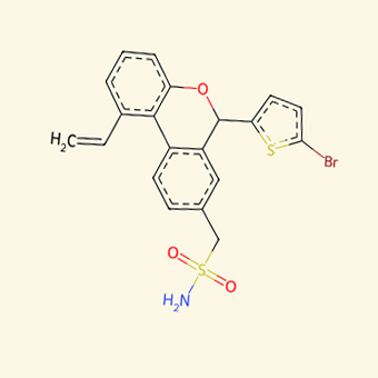 C=Cc1cccc2c1-c1ccc(CS(N)(=O)=O)cc1C(c1ccc(Br)s1)O2